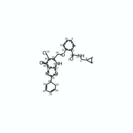 O=C(NCC1CC1)c1ccccc1OCc1[nH]c2nc(C3C=CC=CC3)nn2c(=O)c1Cl